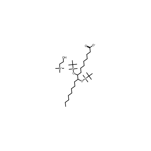 CCCCCCCCC(O[Si](C)(C)C(C)(C)C)C(CCCCCCCC(=O)[O-])O[Si](C)(C)C(C)(C)C.C[N+](C)(C)CCO